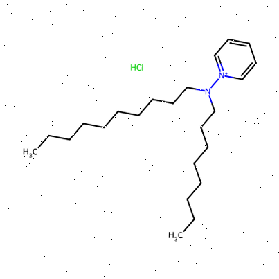 CCCCCCCCCCN(CCCCCCCC)[n+]1ccccc1.Cl